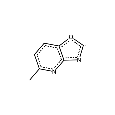 Cc1ccc2o[c]nc2n1